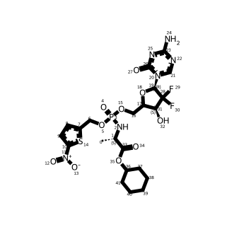 C[C@H](NP(=O)(OCc1ccc([N+](=O)[O-])s1)OCC1O[C@@H](n2cnc(N)nc2=O)C(F)(F)[C@H]1O)C(=O)OC1CCCCC1